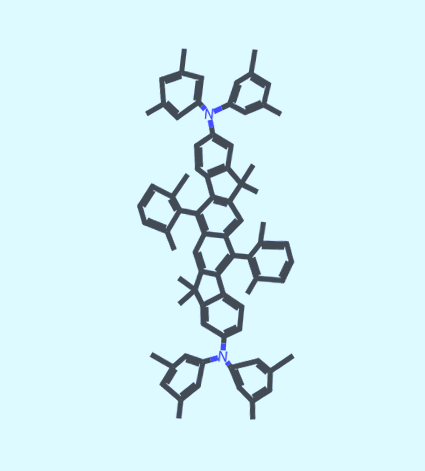 Cc1cc(C)cc(N(c2cc(C)cc(C)c2)c2ccc3c(c2)C(C)(C)c2cc4c(-c5c(C)cccc5C)c5c(cc4c(-c4c(C)cccc4C)c2-3)C(C)(C)c2cc(N(c3cc(C)cc(C)c3)c3cc(C)cc(C)c3)ccc2-5)c1